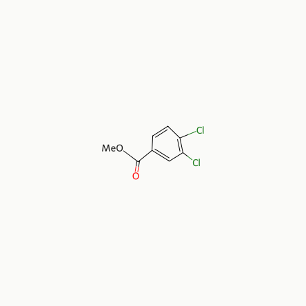 COC(=O)c1ccc(Cl)c(Cl)c1